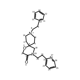 O=C1COC2(CCN(CCc3ccccc3)CC2)CN1CCc1ccccn1